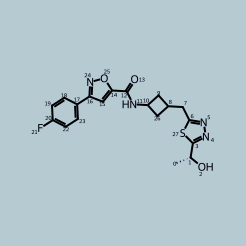 C[C@@H](O)c1nnc(CC2CC(NC(=O)c3cc(-c4ccc(F)cc4)no3)C2)s1